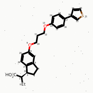 CCC(C(=O)O)[C@@H]1CCc2cc(OCCCOc3ccc(-c4ccsc4)cc3)ccc21